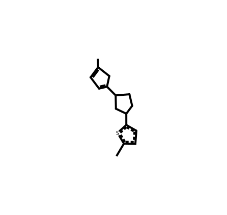 CC1=CC=C(C2CCC(c3ccc(C)s3)C2)C1